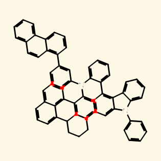 c1ccc(-n2c3ccccc3c3c(-c4ccccc4N(c4cccc(-c5cccc6c5ccc5ccccc56)c4)c4ccccc4-c4cccc5cccc(C6CCCCC6)c45)cccc32)cc1